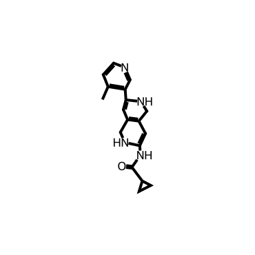 Cc1ccncc1C1=CC2=C(C=C(NC(=O)C3CC3)NC2)CN1